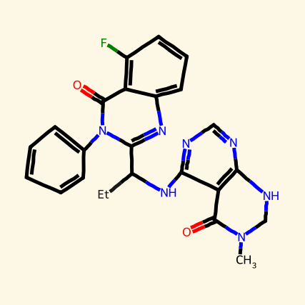 CCC(Nc1ncnc2c1C(=O)N(C)CN2)c1nc2cccc(F)c2c(=O)n1-c1ccccc1